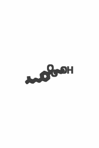 CC(C)=CCCC1=CCC(C(=O)OCCO)CC1